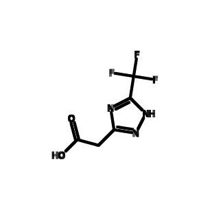 O=C(O)Cc1n[nH]c(C(F)(F)F)n1